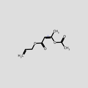 C=CCOC(=O)/C=C(/C)OC(C)=O